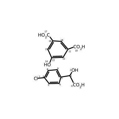 O=C(O)C(O)c1ccc(Cl)cc1.O=C(O)c1cc(O)cc(C(=O)O)c1